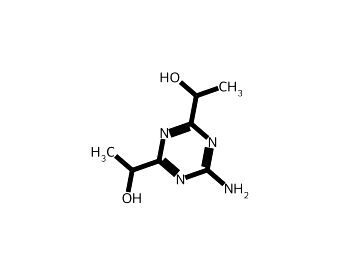 CC(O)c1nc(N)nc(C(C)O)n1